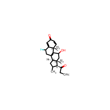 CC(=O)OCC(=O)[C@H]1C(C)C[C@H]2C3=C(C(O)C[C@@]21C)[C@@]1(C)C=CC(=O)C=C1C(F)C3